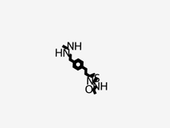 CC(=N)NCCc1ccc(CCc2csc(NC(C)=O)n2)cc1